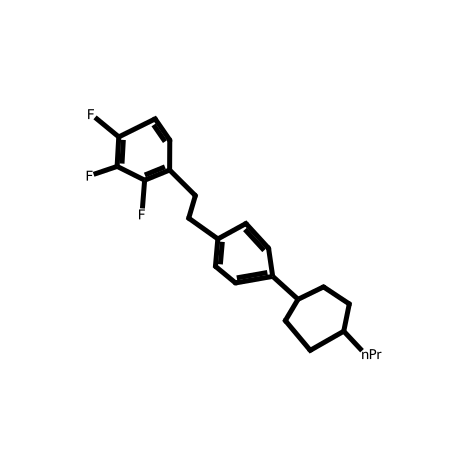 CCCC1CCC(c2ccc(CCc3ccc(F)c(F)c3F)cc2)CC1